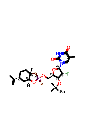 C=C(C)[C@@H]1CC[C@]2(C)S[P@@](=S)(OC[C@H]3O[C@@H](n4cc(C)c(=O)[nH]c4=O)[C@H](F)[C@@H]3O[Si](C)(C)C(C)(C)C)O[C@H]2C1